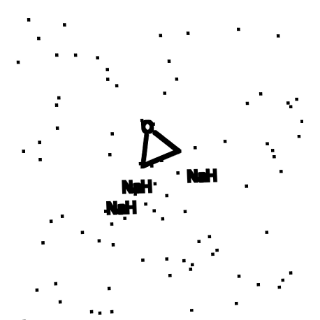 C1CO1.[NaH].[NaH].[NaH]